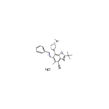 Cc1c(/C=C/c2ccccc2)c(N2CC[C@H](N(C)C)C2)c2oc(C(C)(C)C)nc2c1C#N.Cl